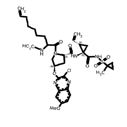 C=CCCCCCC(NC(=O)O)C(=O)N1C[C@H](Oc2nc3cc(OC)ccc3nc2Cl)C[C@H]1C(=O)N[C@]1(C(=O)NS(=O)(=O)C2(C)CC2)C[C@H]1C=C